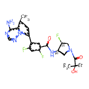 CCC(O)(C(=O)N1C[C@H](F)[C@H](NC(=O)c2cc(-c3cc(C(F)(F)F)c4c(N)ncnn34)c(F)cc2F)C1)C(F)(F)F